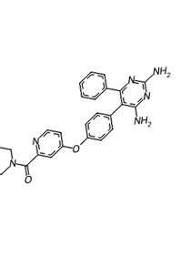 Nc1nc(N)c(-c2ccc(Oc3ccnc(C(=O)N4CCOCC4)c3)cc2)c(-c2ccccc2)n1